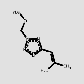 CCCCOCn1nnc(C=C(C)C)n1